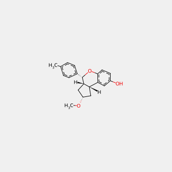 CO[C@@H]1C[C@H]2[C@@H](C1)c1cc(O)ccc1O[C@H]2c1ccc(C)cc1